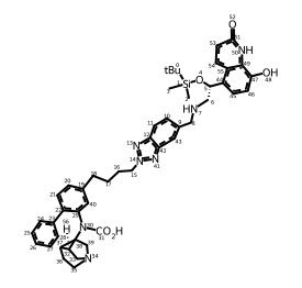 CC(C)(C)[Si](C)(C)O[C@@H](CNCc1ccc2nn(CCCCc3ccc(-c4ccccc4)c(N(C(=O)O)[C@H]4CN5CCC4CC5)c3)nc2c1)c1ccc(O)c2[nH]c(=O)ccc12